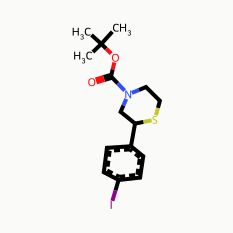 CC(C)(C)OC(=O)N1CCSC(c2ccc(I)cc2)C1